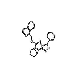 c1ccc(-c2nnc3c4c(c(OCc5nccc6ccccc56)nn23)C2CCC4CC2)cc1